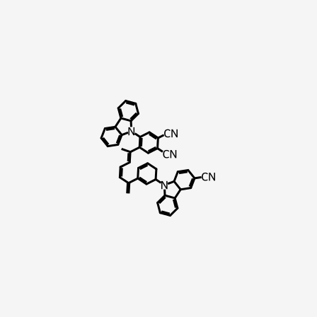 C=C(/C=C\C=C(/C)c1cc(C#N)c(C#N)cc1-n1c2ccccc2c2ccccc21)C1=CC(N2c3ccccc3C3C=C(C#N)C=CC32)CC=C1